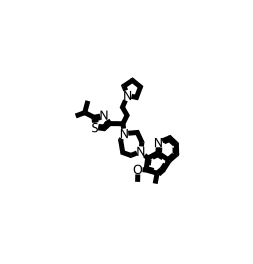 COc1c(C)cc2cccnc2c1N1CCCN(C(CCN2CCCC2)c2csc(C(C)C)n2)CC1